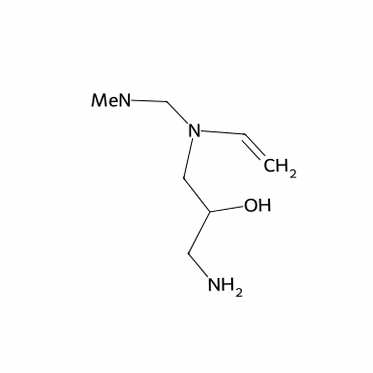 C=CN(CNC)CC(O)CN